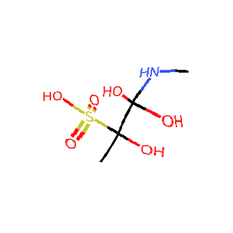 CNC(O)(O)C(C)(O)S(=O)(=O)O